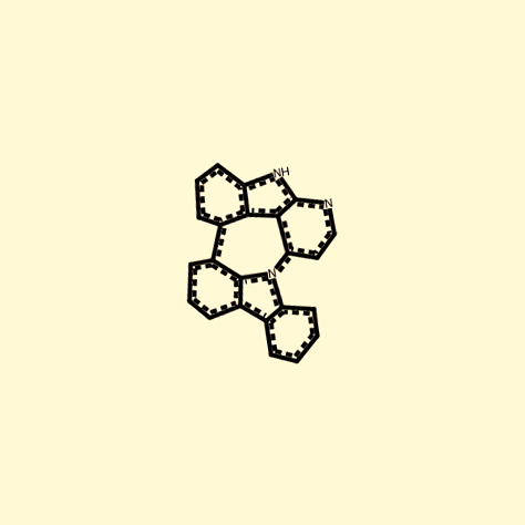 c1cc2[nH]c3nccc4c3c2c(c1)c1cccc2c3ccccc3n4c12